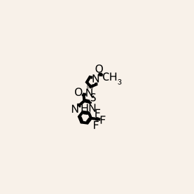 CC(=O)N1CC[C@@H](n2sc(Nc3ccccc3C(F)(F)F)c(C#N)c2=O)C1